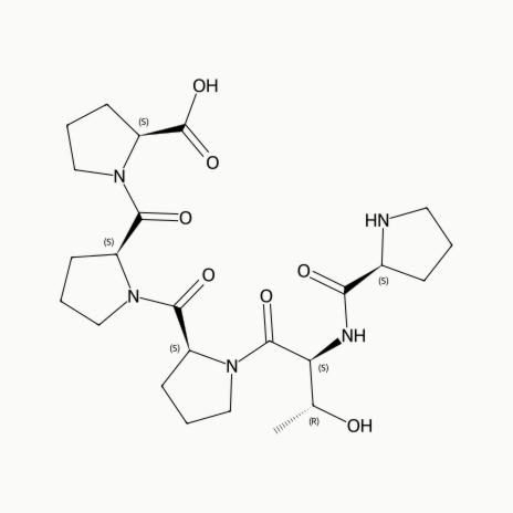 C[C@@H](O)[C@H](NC(=O)[C@@H]1CCCN1)C(=O)N1CCC[C@H]1C(=O)N1CCC[C@H]1C(=O)N1CCC[C@H]1C(=O)O